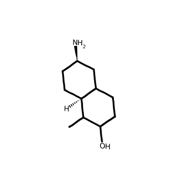 CC1C(O)CCC2C[C@H](N)CC[C@@H]21